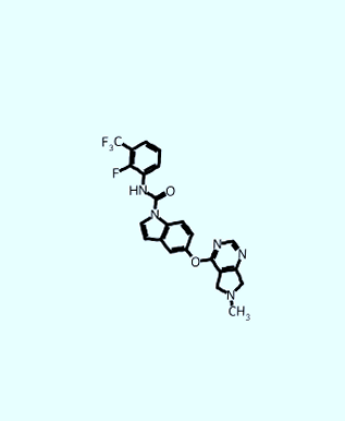 CN1Cc2ncnc(Oc3ccc4c(ccn4C(=O)Nc4cccc(C(F)(F)F)c4F)c3)c2C1